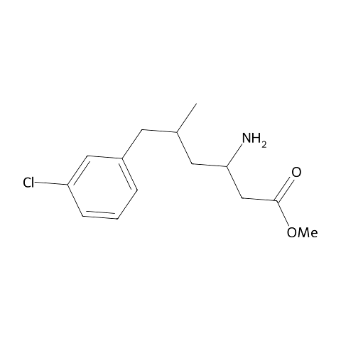 COC(=O)CC(N)CC(C)Cc1cccc(Cl)c1